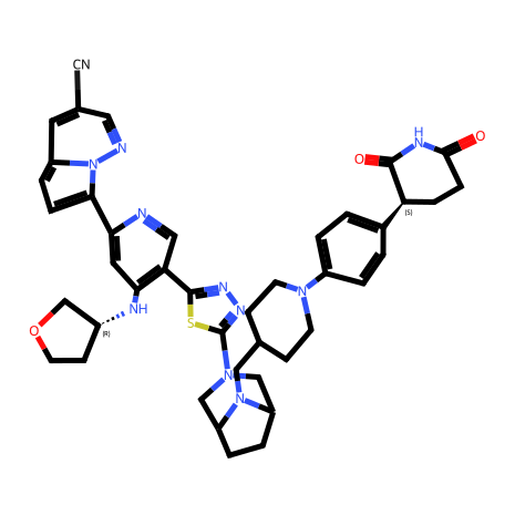 N#Cc1cnn2c(-c3cc(N[C@@H]4CCOC4)c(-c4nnc(N5CC6CCC(C5)N6CC5CCN(c6ccc([C@@H]7CCC(=O)NC7=O)cc6)CC5)s4)cn3)ccc2c1